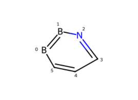 b1bnccc1